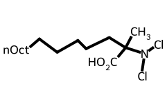 CCCCCCCCCCCCCC(C)(C(=O)O)N(Cl)Cl